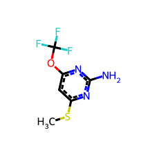 CSc1cc(OC(F)(F)F)nc(N)n1